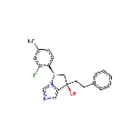 N#Cc1ccc([C@H]2C[C@](O)(CCc3ccccc3)c3cncn32)c(F)c1